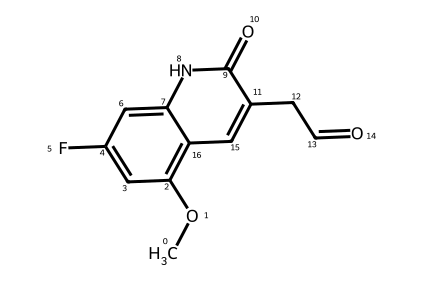 COc1cc(F)cc2[nH]c(=O)c(CC=O)cc12